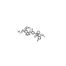 COc1cc2ncnc(Oc3ccc(-c4c5n(n(-c6cc(F)ccc6C)c4=O)CCCC5)cc3F)c2cc1OC